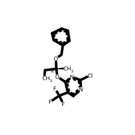 CC[C@](C)(OCc1ccccc1)Oc1nc(Cl)ncc1C(F)(F)F